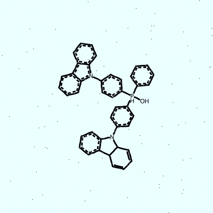 O[PH](c1ccccc1)(c1ccc(N2c3ccccc3C3C=CC=CC32)cc1)c1ccc(-n2c3ccccc3c3ccccc32)cc1